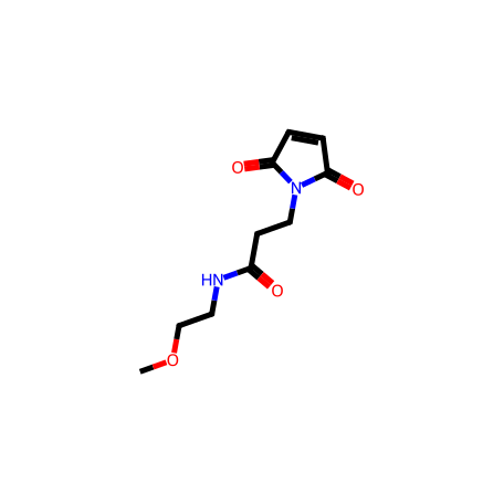 COCCNC(=O)CCN1C(=O)C=CC1=O